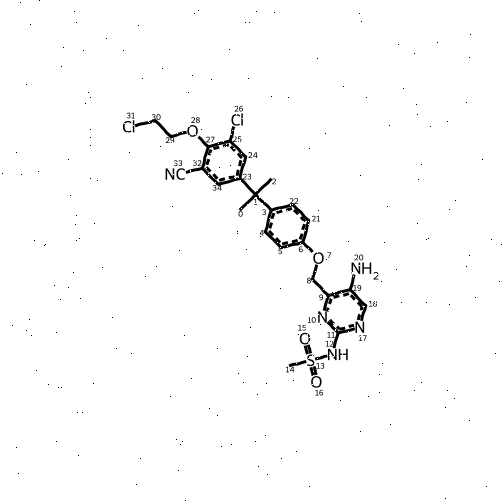 CC(C)(c1ccc(OCc2nc(NS(C)(=O)=O)ncc2N)cc1)c1cc(Cl)c(OCCCl)c(C#N)c1